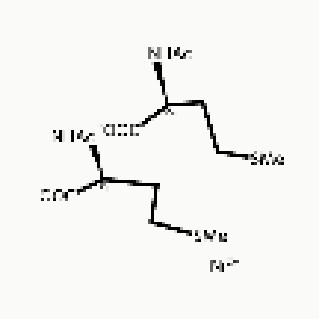 CSCC[C@H](NC(C)=O)C(=O)[O-].CSCC[C@H](NC(C)=O)C(=O)[O-].[Ni+2]